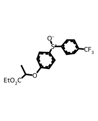 CCOC(=O)C(C)Oc1ccc([S+]([O-])c2ccc(C(F)(F)F)cc2)cc1